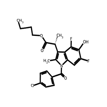 CCCCOC(=O)[C@H](C)c1c(C)n(C(=O)c2ccc(Cl)cc2)c2cc(F)c(O)c(F)c12